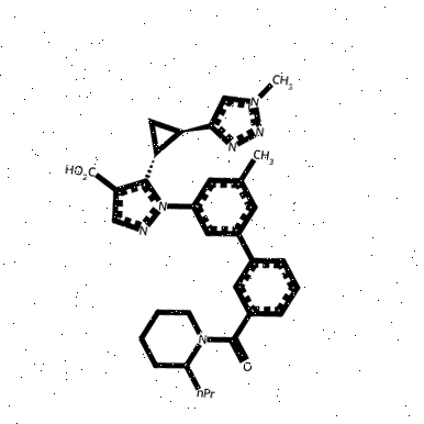 CCCC1CCCCN1C(=O)c1cccc(-c2cc(C)cc(-n3ncc(C(=O)O)c3[C@@H]3C[C@H]3c3cn(C)nn3)c2)c1